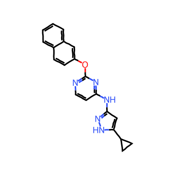 c1ccc2cc(Oc3nccc(Nc4cc(C5CC5)[nH]n4)n3)ccc2c1